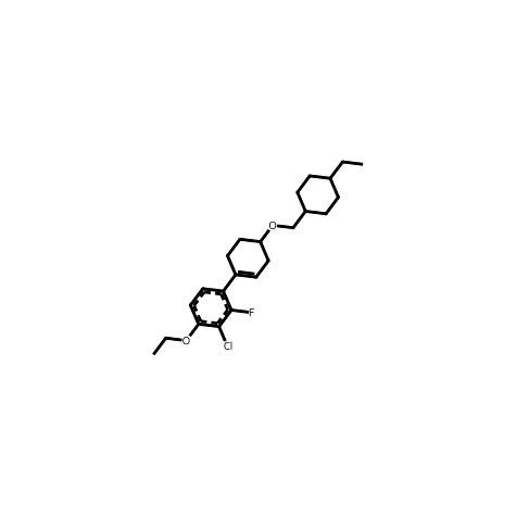 CCOc1ccc(C2=CCC(OCC3CCC(CC)CC3)CC2)c(F)c1Cl